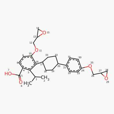 CC(C)c1c(C(=O)O)ccc(OCC2CO2)c1C1CCC(c2ccc(OCC3CO3)cc2)CC1